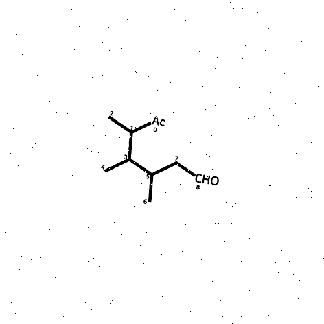 CC(=O)C(C)C(C)C(C)CC=O